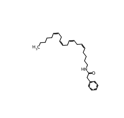 CCCCC/C=C\C/C=C\C/C=C\C/C=C\CCCCNC(=O)Cc1ccccc1